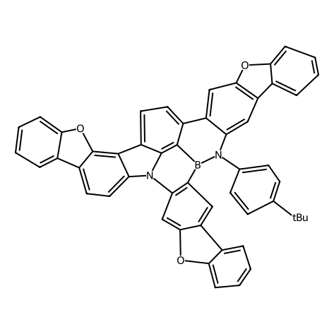 CC(C)(C)c1ccc(N2B3c4cc5c(cc4-n4c6ccc7c8ccccc8oc7c6c6ccc(c3c64)-c3cc4oc6ccccc6c4cc32)oc2ccccc25)cc1